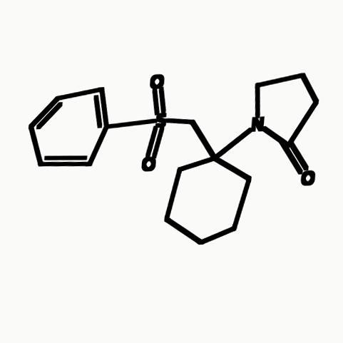 O=C1CCCN1C1(CS(=O)(=O)c2ccccc2)CCCCC1